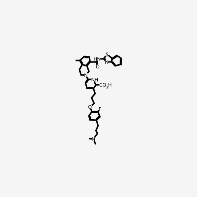 Cc1ccc(C(=O)Nc2nc3ccccc3s2)c2c1CCN(C1=CC=C(CCCOc3ccc(CCCN(C)C)cc3F)C(C(=O)O)N1)C2